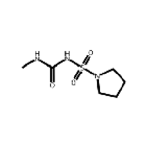 CNC(=O)NS(=O)(=O)N1CCCC1